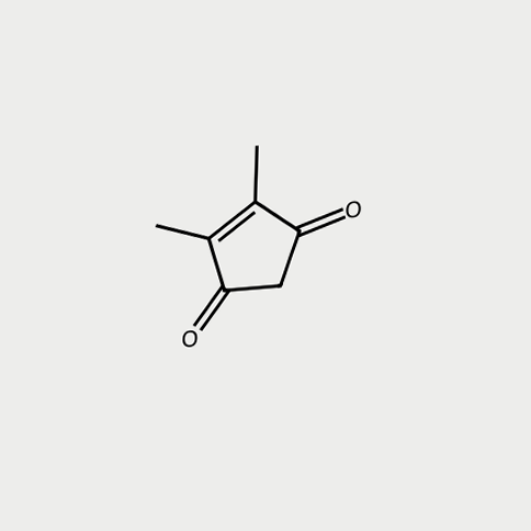 CC1=C(C)C(=O)CC1=O